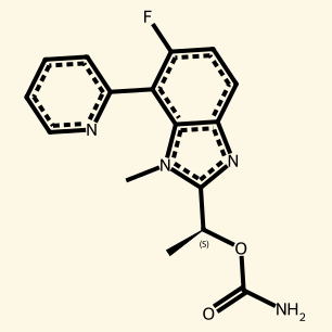 C[C@H](OC(N)=O)c1nc2ccc(F)c(-c3ccccn3)c2n1C